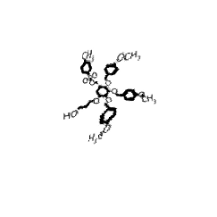 COc1ccc(CO[C@H]2[C@H](OCc3ccc(OC)cc3)[C@@H](COS(=O)(=O)c3ccc(C)cc3)C[C@@H](OCCCO)[C@@H]2OCc2ccc(OC)cc2)cc1